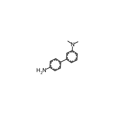 CN(C)c1cccc(-c2ccc(N)cc2)c1